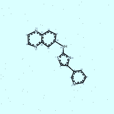 c1cncc(-c2csc(Nc3ccc4nccnc4c3)n2)c1